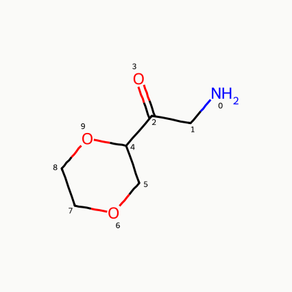 NCC(=O)C1COCCO1